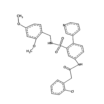 COc1ccc(CNS(=O)(=O)c2cc(NC(=O)Cc3ccccc3Cl)ccc2-c2cccnc2)c(OC)c1